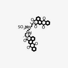 CS(=O)(=O)O.C[C@H](CNCCNC[C@@H](C)N1C(=O)c2cccc3c4c(cc(c23)C1=O)C(=O)c1ccccc1C4=O)N1C(=O)c2cccc3c4c(cc(c23)C1=O)C(=O)c1ccccc1C4=O